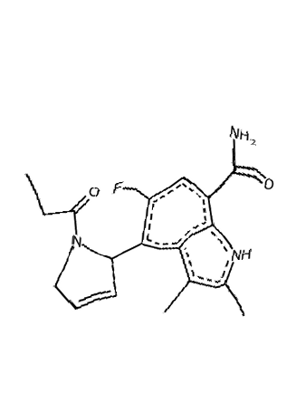 CCC(=O)N1CC=CC1c1c(F)cc(C(N)=O)c2[nH]c(C)c(C)c12